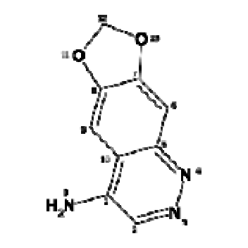 Nc1cnnc2cc3c(cc12)OCO3